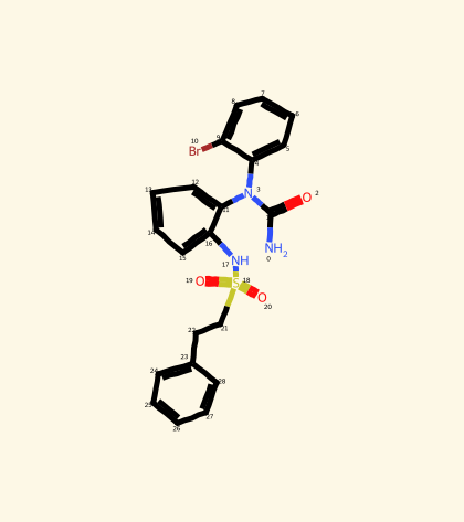 NC(=O)N(c1ccccc1Br)c1ccccc1NS(=O)(=O)CCc1ccccc1